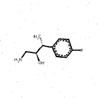 C[C@H](c1ccc(F)cc1)[C@@H](O)CN